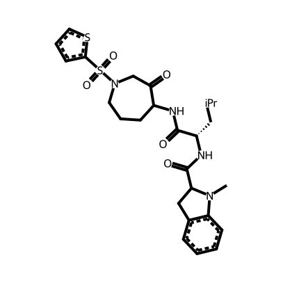 CC(C)C[C@H](NC(=O)C1Cc2ccccc2N1C)C(=O)NC1CCCN(S(=O)(=O)c2cccs2)CC1=O